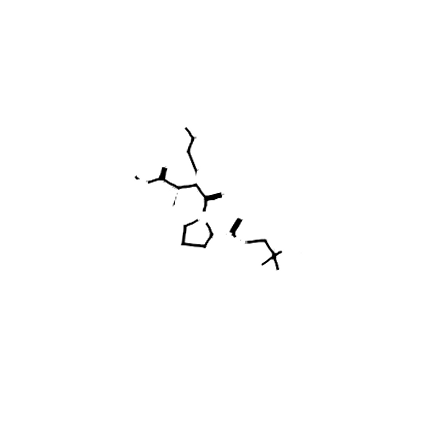 CCCC[C@@H](C(=O)N1CCC[C@H]1C(=O)NCC(C)(C)C)[C@@H](F)C(=O)NO